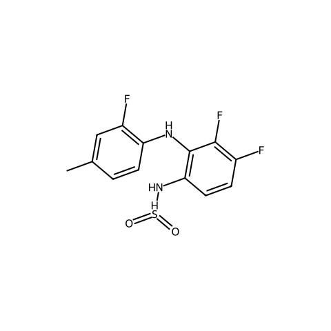 Cc1ccc(Nc2c(N[SH](=O)=O)ccc(F)c2F)c(F)c1